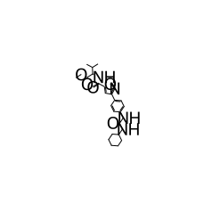 COC(=O)C(NC(=O)c1cc(-c2ccc(NC(=O)NC3CCCCC3)cc2)no1)C(C)C